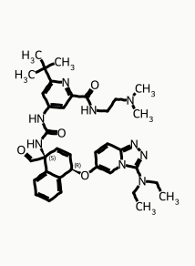 CCN(CC)c1nnc2ccc(O[C@@H]3C=C[C@](C=O)(NC(=O)Nc4cc(C(=O)NCCN(C)C)nc(C(C)(C)C)c4)c4ccccc43)cn12